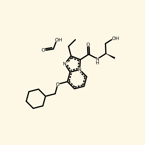 CCc1nc2c(OCC3CCCCC3)cccn2c1C(=O)N[C@H](C)CO.O=CO